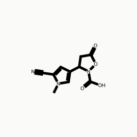 Cn1cc(C2CC(=O)ON2C(=O)O)cc1C#N